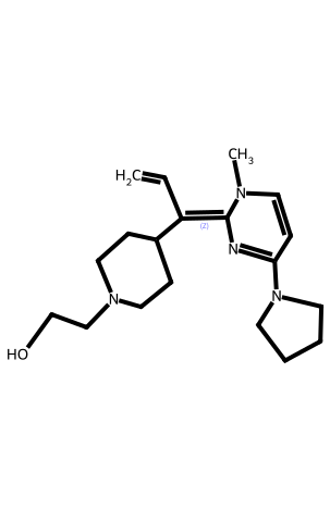 C=C/C(=C1/N=C(N2CCCC2)C=CN1C)C1CCN(CCO)CC1